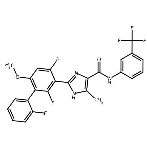 COc1cc(F)c(-c2nc(C(=O)Nc3cccc(C(F)(F)F)c3)c(C)[nH]2)c(F)c1-c1ccccc1F